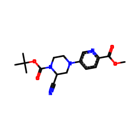 COC(=O)c1ccc(N2CCN(C(=O)OC(C)(C)C)C(C#N)C2)cn1